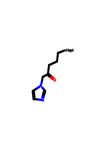 CCCCCCCCCCC(=O)Cn1ccnc1